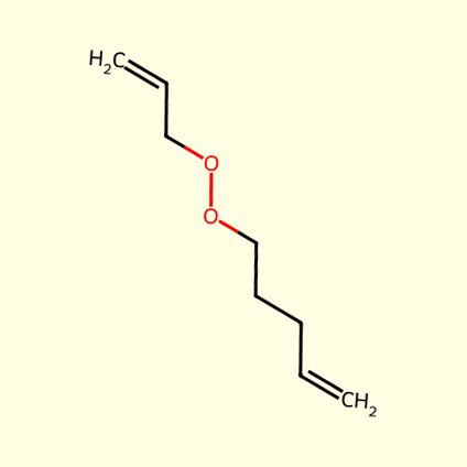 C=CCCCOOCC=C